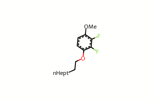 CCCCCCCCCOc1ccc(OC)c(F)c1F